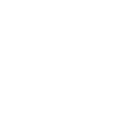 C=Cc1ccc2c(c1)CC=C2